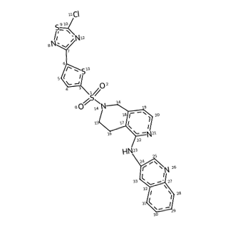 O=S(=O)(c1ccc(-c2nsc(Cl)n2)s1)N1CCc2c(ccnc2Nc2cnc3ccccc3c2)C1